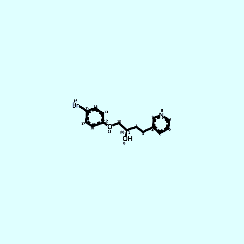 O[C@H](CCc1cccnc1)COc1ccc(Br)cc1